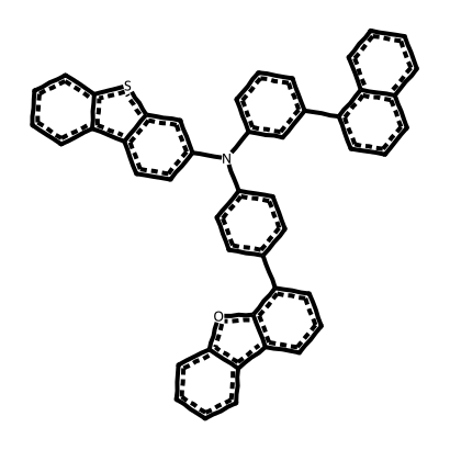 c1cc(-c2cccc3ccccc23)cc(N(c2ccc(-c3cccc4c3oc3ccccc34)cc2)c2ccc3c(c2)sc2ccccc23)c1